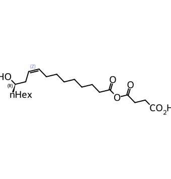 CCCCCC[C@@H](O)C/C=C\CCCCCCCC(=O)OC(=O)CCC(=O)O